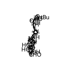 CC(C)[C@H](NC(=O)OC(C)(C)C)C(=O)NCC#Cc1cccc(CNc2ncnc3c2ncn3[C@@H]2O[C@H](C(O)N(C)C=O)[C@@H](O)[C@H]2O)c1